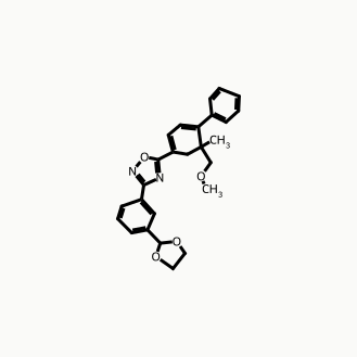 COCC1(C)CC(c2nc(-c3cccc(C4OCCO4)c3)no2)=CC=C1c1ccccc1